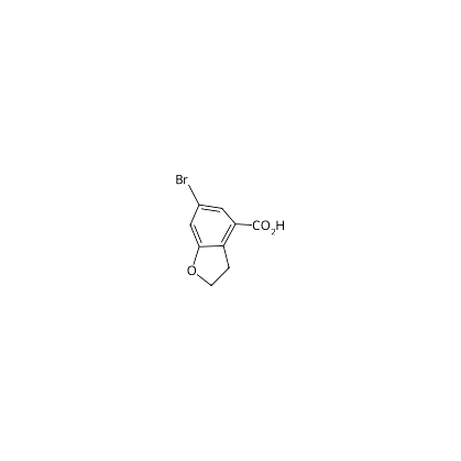 O=C(O)c1cc(Br)cc2c1CCO2